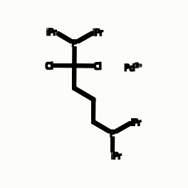 CC(C)P(CCCC(Cl)(Cl)P(C(C)C)C(C)C)C(C)C.[Pd+2]